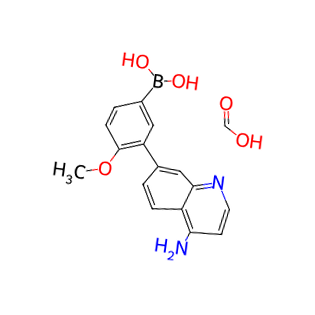 COc1ccc(B(O)O)cc1-c1ccc2c(N)ccnc2c1.O=CO